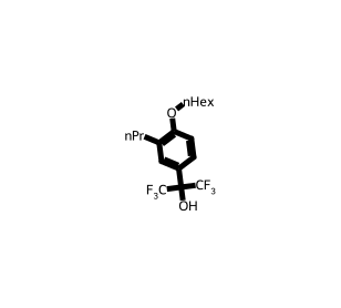 CCCCCCOc1ccc(C(O)(C(F)(F)F)C(F)(F)F)cc1CCC